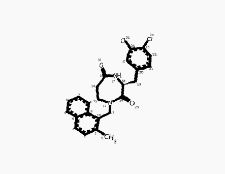 Cc1ccc2ccccc2c1CN1CCC(=O)N[C@@H](Cc2ccc(Cl)c(Cl)c2)C1=O